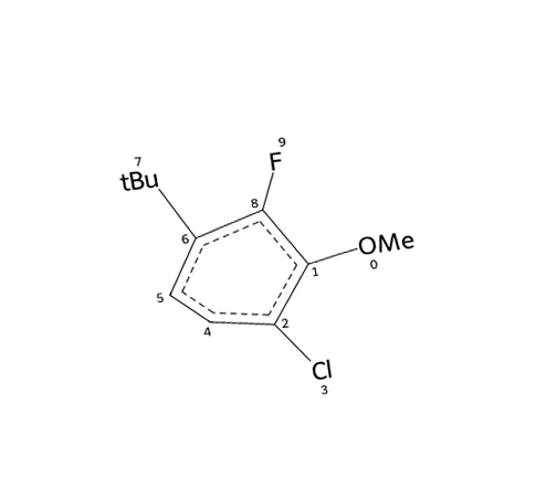 COc1c(Cl)ccc(C(C)(C)C)c1F